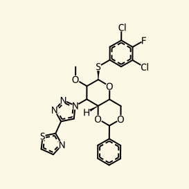 COC1C(n2cc(-c3nccs3)nn2)[C@H]2OC(c3ccccc3)OCC2O[C@@H]1Sc1cc(Cl)c(F)c(Cl)c1